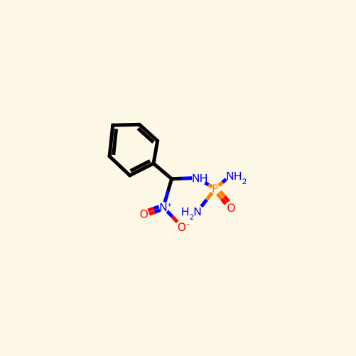 NP(N)(=O)NC(c1ccccc1)[N+](=O)[O-]